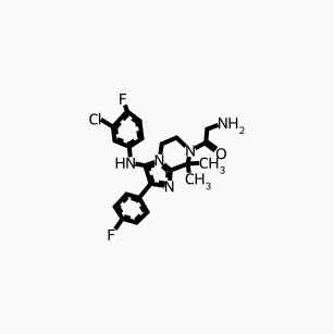 CC1(C)c2nc(-c3ccc(F)cc3)c(Nc3ccc(F)c(Cl)c3)n2CCN1C(=O)CN